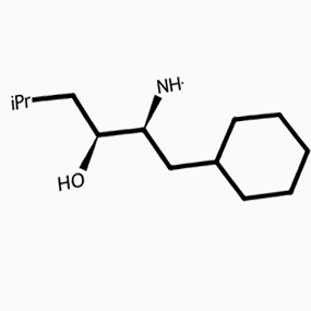 CC(C)C[C@H](O)[C@@H]([NH])CC1CCCCC1